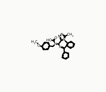 COc1ccc(CN(C(=O)O)C2N=C(c3ccccc3)c3ccccc3-n3c(C)nnc32)cc1